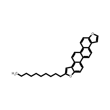 CCCCCCCCCCc1cc2c(ccc3c2ccc2c4ccc5occc5c4ccc32)o1